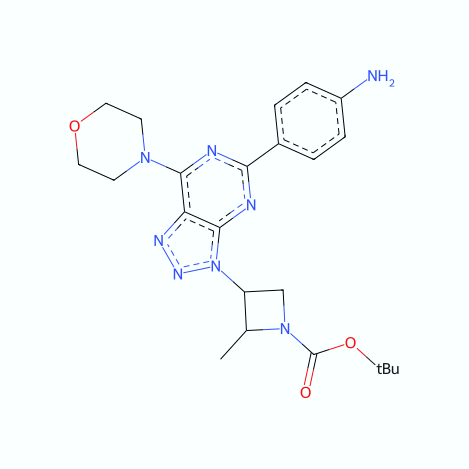 CC1C(n2nnc3c(N4CCOCC4)nc(-c4ccc(N)cc4)nc32)CN1C(=O)OC(C)(C)C